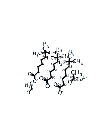 CC(C)(C)CCCCCC(=O)[O-].CC(C)(C)CCCCCC(=O)[O-].CC(C)(C)CCCCCC(=O)[O-].CC[O-].CC[O-].[Ta+5]